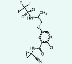 CC(COc1cnc(Cl)c(C(=O)NC2(C#N)CC2)c1)NS(=O)(=O)C(F)(F)F